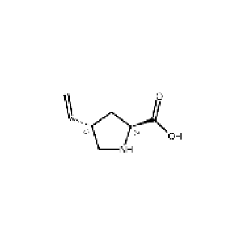 C=C[C@H]1CN[C@H](C(=O)O)C1